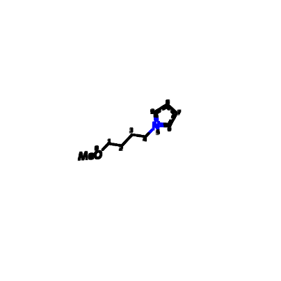 COCCCCn1cccc1